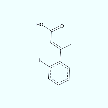 CC(=CC(=O)O)c1ccccc1I